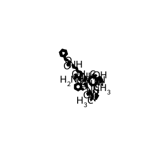 C[C@H]1CN(C(=O)[C@@H](CC2CCCCC2)NC(=O)c2nccn2C)[C@H](C(=O)NC(CCCCNC(=O)OCc2ccccc2)C(=O)C(N)=O)CC(C)(O)c2cnnn21